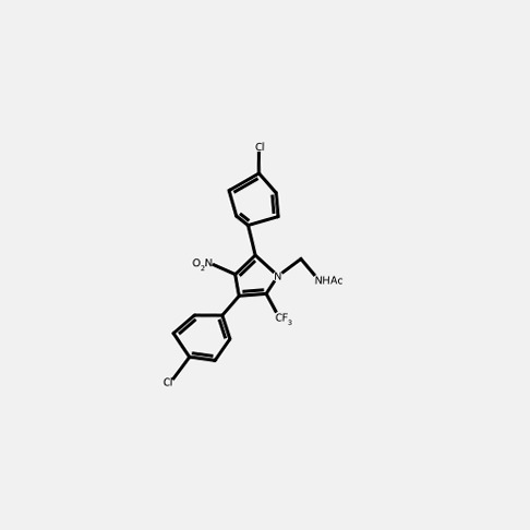 CC(=O)NCn1c(-c2ccc(Cl)cc2)c([N+](=O)[O-])c(-c2ccc(Cl)cc2)c1C(F)(F)F